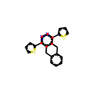 c1csc(-c2nnc(-c3cccs3)c3c2C2c4ccccc4C3c3ccccc32)c1